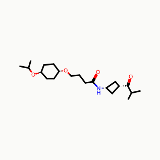 CC(C)O[C@H]1CC[C@H](OCCCC(=O)N[C@H]2C[C@@H](C(=O)C(C)C)C2)CC1